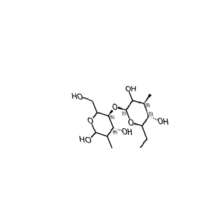 CCC1O[C@@H](O[C@@H]2C(CO)OC(O)C(C)[C@H]2O)C(O)[C@@H](C)[C@@H]1O